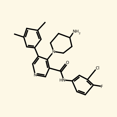 Cc1cc(C)cc(-c2cncc(C(=O)Nc3ccc(F)c(Cl)c3)c2N2CCC(N)CC2)c1